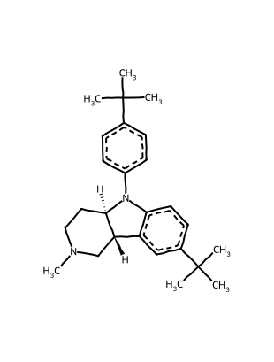 CN1CC[C@@H]2[C@@H](C1)c1cc(C(C)(C)C)ccc1N2c1ccc(C(C)(C)C)cc1